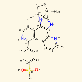 Cc1cccc(-c2nc3n(c2-c2ccnc(-c4ccc(S(C)(=O)=O)cc4)c2)[C@H]2CC[C@@H]3C2)n1